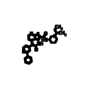 C=CC(=C)N1CCC[C@@H](NC(=O)c2sc3nccc4c3c2NC(=O)N4c2ccnc(-c3ccccc3)c2)C1